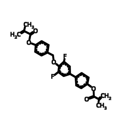 C=C(C)C(=O)Oc1ccc(COc2c(F)cc(-c3ccc(OC(=O)C(=C)C)cc3)cc2F)cc1